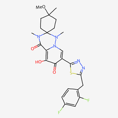 COC1(C)CCC2(CC1)N(C)C(=O)c1c(O)c(=O)c(-c3nnc(Cc4ccc(F)cc4F)s3)cn1N2C